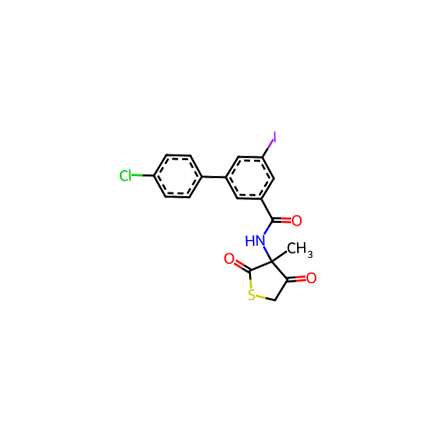 CC1(NC(=O)c2cc(I)cc(-c3ccc(Cl)cc3)c2)C(=O)CSC1=O